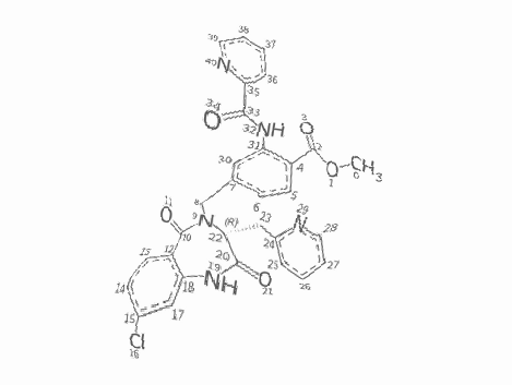 COC(=O)c1ccc(CN2C(=O)c3ccc(Cl)cc3NC(=O)[C@H]2Cc2ccccn2)cc1NC(=O)c1ccccn1